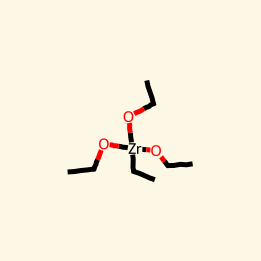 CC[O][Zr]([CH2]C)([O]CC)[O]CC